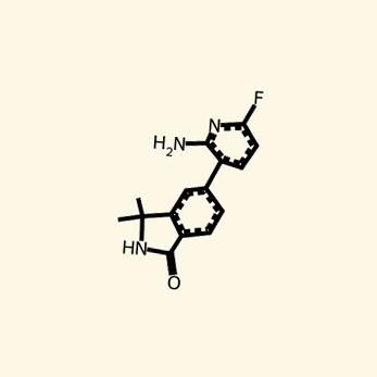 CC1(C)NC(=O)c2ccc(-c3ccc(F)nc3N)cc21